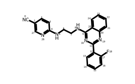 N#Cc1ccc(NCCNc2nc(-c3ccccc3F)nc3ccccc23)nc1